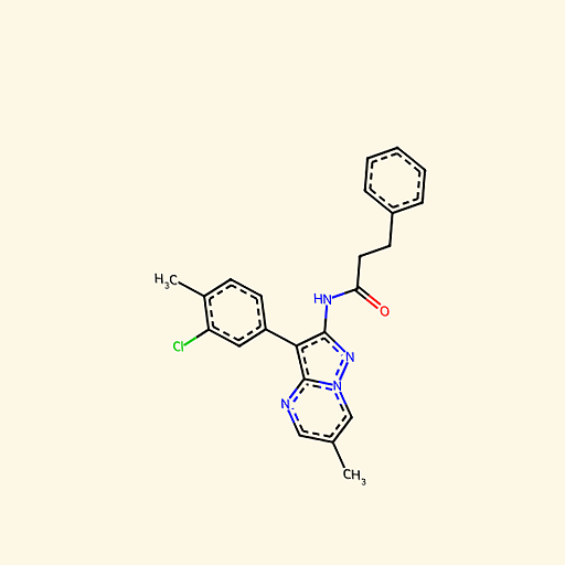 Cc1cnc2c(-c3ccc(C)c(Cl)c3)c(NC(=O)CCc3ccccc3)nn2c1